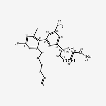 C=CCCCCc1cc(F)cc(C)c1-c1cc([C@H](CC(=O)OCC)NC(=O)OC(C)(C)C)cc(C(F)(F)F)c1